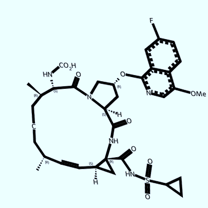 COc1cnc(O[C@@H]2C[C@H]3C(=O)N[C@]4(C(=O)NS(=O)(=O)C5CC5)C[C@H]4C=C[C@H](C)CCC[C@@H](C)[C@H](NC(=O)O)C(=O)N3C2)c2cc(F)ccc12